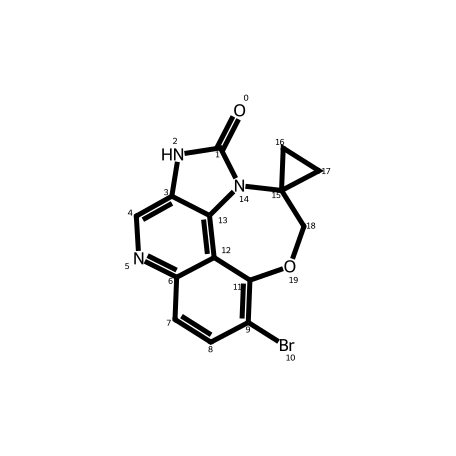 O=c1[nH]c2cnc3ccc(Br)c4c3c2n1C1(CC1)CO4